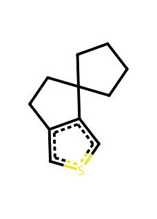 c1scc2c1CCC21CCCC1